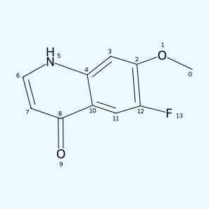 COc1cc2[nH]ccc(=O)c2cc1F